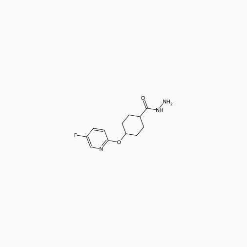 NNC(=O)C1CCC(Oc2ccc(F)cn2)CC1